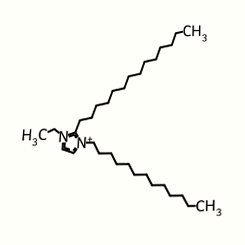 CCCCCCCCCCCCCCc1n(CC)cc[n+]1CCCCCCCCCCCCC